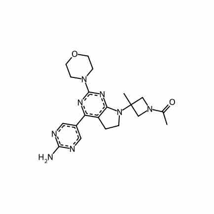 CC(=O)N1CC(C)(N2CCc3c(-c4cnc(N)nc4)nc(N4CCOCC4)nc32)C1